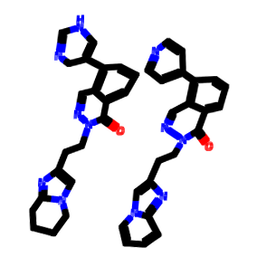 O=c1c2cccc(-c3ccncc3)c2cnn1CCc1cn2ccccc2n1.O=c1c2cccc(C3=CNC=NC3)c2cnn1CCc1cn2c(n1)CCCC2